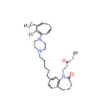 CCC1=C(N2CCN(CCCCCc3ccc4c(c3)N(CCC(=O)CC(C)C)C(=O)CCC4)CC2)C=CCC=C1C